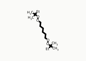 CCC(C)(C)OOCCCCCCOOC(C)(C)CC